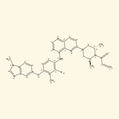 C=CC(=O)N1[C@@H](C)CN(c2ccc3ncnc(Nc4ccc(Oc5ccc6c(c5)ncn6C)c(C)c4F)c3n2)C[C@@H]1C